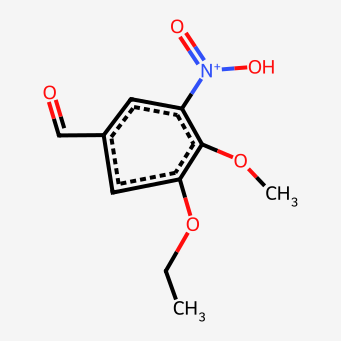 CCOc1cc(C=O)cc([N+](=O)O)c1OC